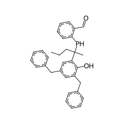 CCCC(C)(Pc1ccccc1C=O)c1cc(Cc2ccccc2)cc(Cc2ccccc2)c1O